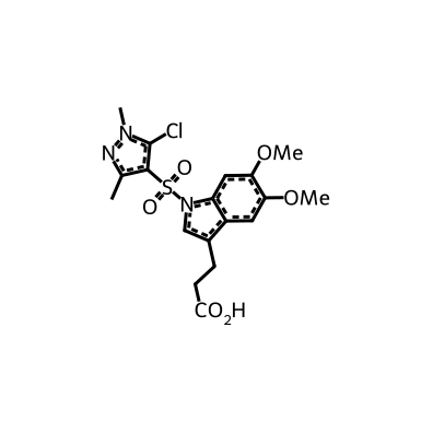 COc1cc2c(CCC(=O)O)cn(S(=O)(=O)c3c(C)nn(C)c3Cl)c2cc1OC